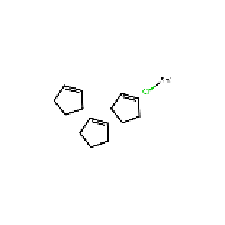 C1=CCCC1.C1=CCCC1.C1=CCCC1.[Cl][Sn]